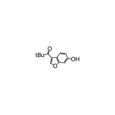 CC(C)(C)C(=O)c1coc2cc(O)ccc12